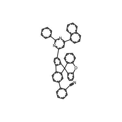 N#Cc1ccccc1-c1ccc2c(c1)C1(c3ccccc3Oc3ccccc31)c1cc(-c3cc(-c4cccc5ccccc45)nc(-c4ccccc4)n3)ccc1-2